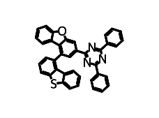 c1ccc(-c2nc(-c3ccccc3)nc(-c3cc(-c4cccc5sc6ccccc6c45)c4c(c3)oc3ccccc34)n2)cc1